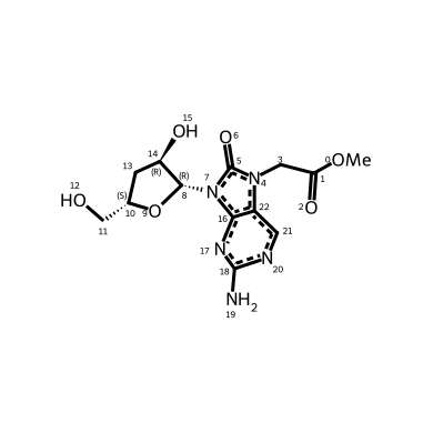 COC(=O)Cn1c(=O)n([C@@H]2O[C@H](CO)C[C@H]2O)c2nc(N)ncc21